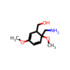 COC1=CC(CO)C(CN)(OC)C=C1